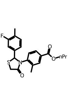 CCCOC(=O)c1ccc(N2C(=O)CSC2c2ccc(C)c(F)c2)c(C)c1